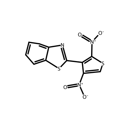 O=[N+]([O-])c1csc([N+](=O)[O-])c1-c1nc2ccccc2s1